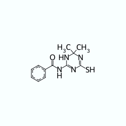 CC1(C)N=C(S)N=C(NC(=O)c2ccccc2)N1